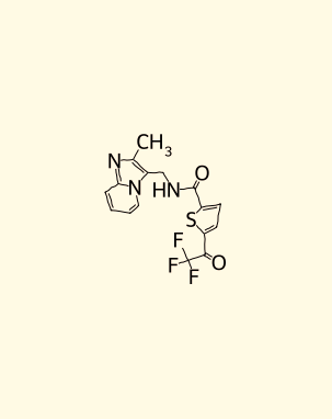 Cc1nc2ccccn2c1CNC(=O)c1ccc(C(=O)C(F)(F)F)s1